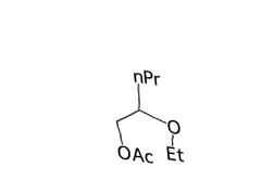 CCCC(COC(C)=O)OCC